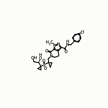 Cn1nc(C(=O)NCc2ccc(Cl)cc2)c2c1C(=O)N(CC1(S(=O)(=O)C3([C@H](O)CO)CC3)CC1)CC2